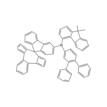 CC1(C)c2ccccc2-c2c(N(c3ccc(-c4ccccc4)c(-c4ccccc4)c3)c3ccc4c(c3)-c3ccccc3C43c4ccccc4-c4ccccc4-c4ccccc43)cccc21